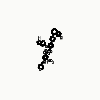 O=C(NS(=O)(=O)c1ccc(NCC2CCOCC2)c([N+](=O)[O-])c1)c1ccc(N2CCN(C3CCCCc4ccc(Cl)cc43)CC2)cc1Oc1cnc2[nH]ccc2c1